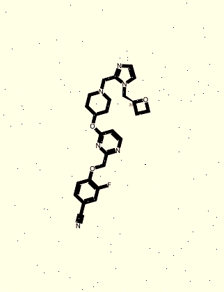 N#Cc1ccc(OCc2nccc(OC3CCN(Cc4nccn4C[C@@H]4CCO4)CC3)n2)c(F)c1